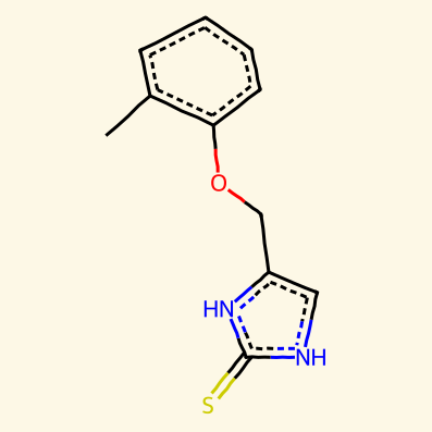 Cc1ccccc1OCc1c[nH]c(=S)[nH]1